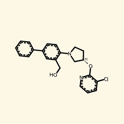 OCc1cc(-c2ccccc2)ccc1N1CC[C@H](Oc2ncccc2Cl)C1